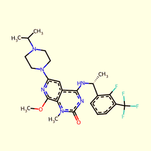 COc1nc(N2CCN(C(C)C)CC2)cc2c(N[C@H](C)c3cccc(C(F)(F)F)c3F)nc(=O)n(C)c12